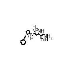 N=C/C(=C\N)C(=N)/C=C(\N)N[C@@H]1CCC[C@H]1OCc1ccccc1